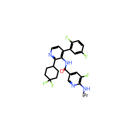 CC(C)Nc1ncc(C(=O)Nc2c(-c3cc(F)ccc3F)ccnc2C2CCC(F)(F)CC2)cc1F